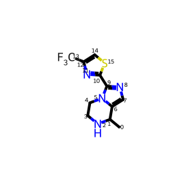 CC1NCCn2c1cnc2-c1nc(C(F)(F)F)cs1